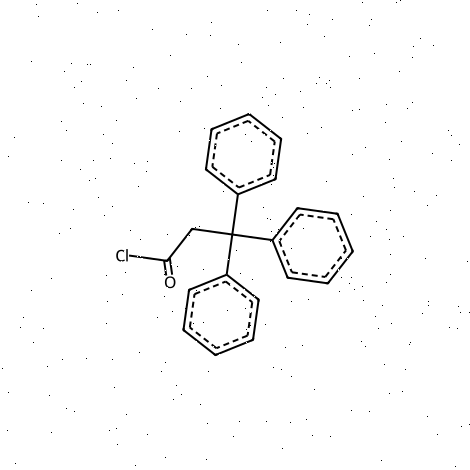 O=C(Cl)CC(c1ccccc1)(c1ccccc1)c1ccccc1